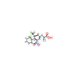 O=C(O)C(Cl)Cc1cc([N+](=O)[O-])c(C2CCCCC2)c(C(F)(F)F)c1